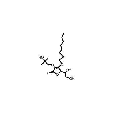 CCCCCCCCOC1=C(OCC(C)(C)O)C(=O)O[C@@H]1[C@@H](O)CO